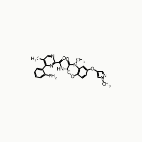 Cc1cnc(C(=O)N[C@H]2COc3ccc(Oc4cnn(C)c4)cc3N(C)C2=O)nc1-c1ccccc1P